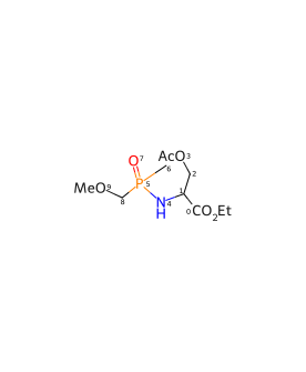 CCOC(=O)C(COC(C)=O)NP(C)(=O)COC